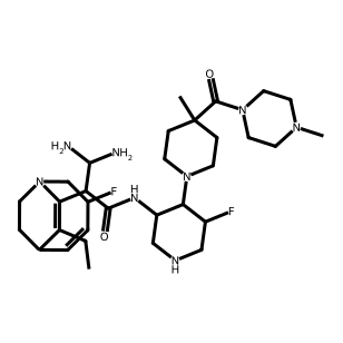 CCC1=C(C(C(=O)NC2CNCC(F)C2N2CCC(C)(C(=O)N3CCN(C)CC3)CC2)C(N)N)N2CCC1/C=C\C(F)C2